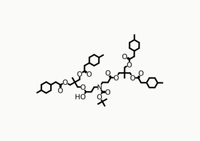 CC1CCC(CC(=O)OCC(C)(COC(=O)CCN(CCC(O)OCC(C)(COC(=O)CC2CCC(C)CC2)COC(=O)CC2CCC(C)CC2)C(=O)OC(C)(C)C)COC(=O)CC2CCC(C)CC2)CC1